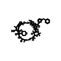 CO[C@H]1/C=C/O[C@@]2(C)Oc3c(C)c(O)c4c(c3C2=O)C(=O)C(N2CCOCC2)=C(NC(=O)/C(C)=C\C=C\[C@H](C)[C@@H]2OC(C)(C)O[C@@H]([C@@H](C)[C@H](OC(=O)n3cc[n+](Cc5ccccc5)c3)[C@@H]1C)[C@@H]2C)C4=O